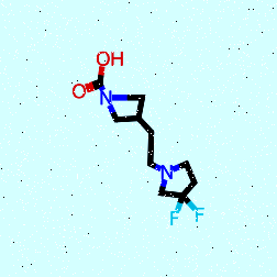 O=C(O)N1CC(CCN2CCC(F)(F)C2)C1